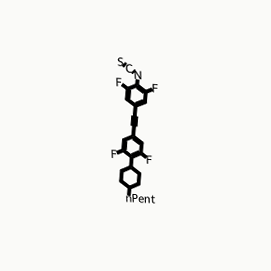 CCCCCC1CCC(c2c(F)cc(C#Cc3cc(F)c(N=C=S)c(F)c3)cc2F)CC1